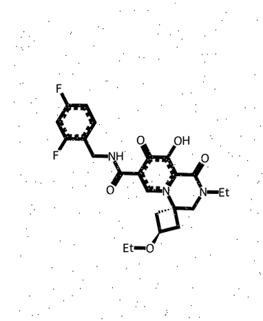 CCO[C@H]1C[C@]2(CN(CC)C(=O)c3c(O)c(=O)c(C(=O)NCc4ccc(F)cc4F)cn32)C1